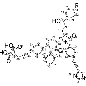 Cn1cncc1C#Cc1ccc(N2C(=O)[C@H](CC[C@H](O)c3ccc(F)cc3)[C@H]2c2ccc(-c3ccc(C#CCC(C(=O)O)C(=O)O)cc3)cc2OCc2ccccc2)cc1